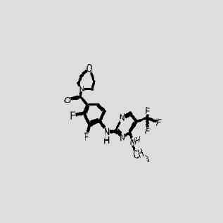 CNc1nc(Nc2ccc(C(=O)N3CCOCC3)c(F)c2F)ncc1C(F)(F)F